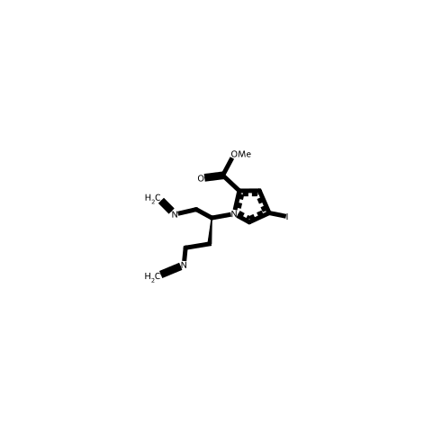 C=NCC[C@@H](CN=C)n1cc(I)cc1C(=O)OC